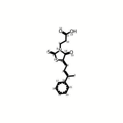 CC(=CC=C1SC(=S)N(CCC(=O)O)C1=O)c1ccccc1